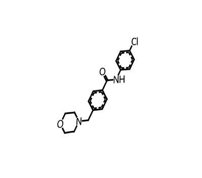 O=C(Nc1ccc(Cl)cc1)c1ccc(CN2CCOCC2)cc1